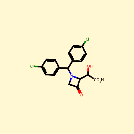 O=C(O)C(O)C1C(=O)CN1C(c1ccc(Cl)cc1)c1ccc(Cl)cc1